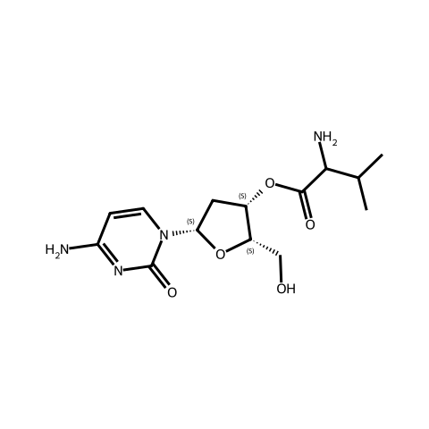 CC(C)C(N)C(=O)O[C@H]1C[C@@H](n2ccc(N)nc2=O)O[C@H]1CO